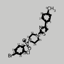 Cc1ccc(-c2csc(N3CCN(S(=O)(=O)c4ccc(Br)cc4Cl)CC3)n2)cc1